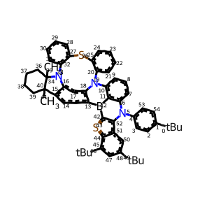 CC(C)(C)c1ccc(N2c3cccc4c3B(c3cc5c6cc3N4c3ccccc3Sc3ccccc3N6C3(C)CCCCC53C)c3sc4c(C(C)(C)C)cc(C(C)(C)C)cc4c32)cc1